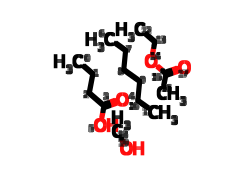 CCCC(=O)O.CCCCCC.CCOC(C)=O.CO